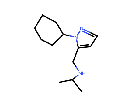 CC(C)NCc1ccnn1C1CCCCC1